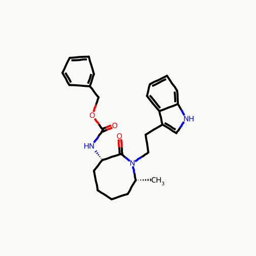 C[C@@H]1CCCC[C@H](NC(=O)OCc2ccccc2)C(=O)N1CCc1c[nH]c2ccccc12